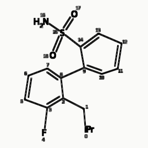 CC(C)Cc1c(F)cccc1-c1ccccc1S(N)(=O)=O